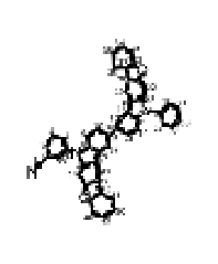 N#Cc1cccc(-n2c3ccc(-c4ccc5c(c4)c4cc6c(cc4n5-c4ccccc4)oc4ccccc46)cc3c3cc4c(cc32)oc2ccccc24)c1